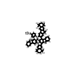 CC(C)(C)c1ccc(N2B3c4cc5oc6ccccc6c5cc4-n4c5cc6c(cc5c5c7sc8ccccc8c7c(c3c54)-c3cc4c(cc32)-c2cc3c(cc2C4(C)C)C(C)(C)CCC3(C)C)C(C)(C)CCC6(C)C)cc1